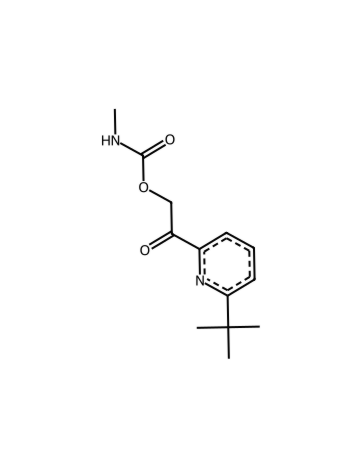 CNC(=O)OCC(=O)c1cccc(C(C)(C)C)n1